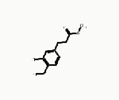 COC(=O)CCc1ccc(CCl)c(Cl)c1